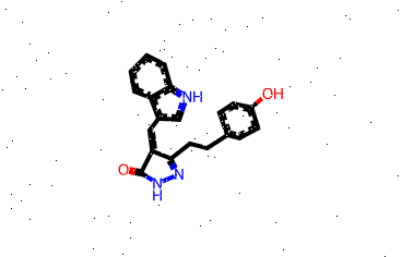 O=C1NN=C(CCc2ccc(O)cc2)C1=Cc1c[nH]c2ccccc12